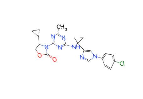 Cc1nc(NC2(c3cn(-c4ccc(Cl)cc4)cn3)CC2)nc(N2C(=O)OC[C@@H]2C2CC2)n1